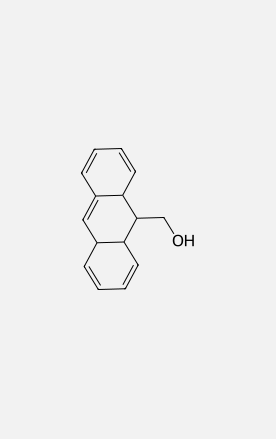 OCC1C2C=CC=CC2=CC2C=CC=CC21